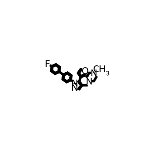 CN1CCN(Cc2cnn(-c3ccc(-c4ccc(F)cc4)cc3)c2-c2ccoc2)CC1